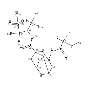 CCC(C)(I)C(=O)OC12CC3CC(C1)CC(C(=O)OC(C(F)(F)F)C(F)(F)S(=O)(=O)O)(C3)C2